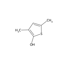 Cc1cc(C)c(O)s1